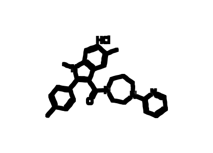 Cc1ccc(-c2c(C(=O)N3CCCN(c4ccccn4)CC3)c3cc(C)ccc3n2C)cc1.Cl